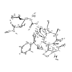 CC(=O)O[C@@]12CO[C@@H]1C[C@H](O)[C@@]1(C)C(=O)[C@H](C)C3=C(C)[C@@H](OC(=O)[C@@H](O)[C@H](CC(C)C)NC(=O)OC(C)(C)C)C[C@@](O)([C@@H](OC(=O)c4ccccc4)[C@H]21)C3(C)C